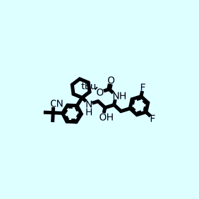 CC(C)(C)OC(=O)NC(Cc1cc(F)cc(F)c1)C(O)CNC1(c2cccc(C(C)(C)C#N)c2)CCCCC1